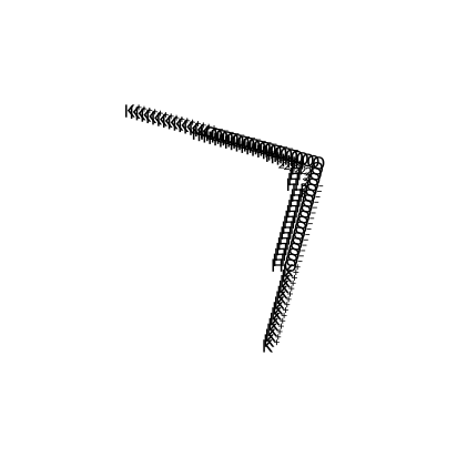 O.O.O.O.O.O.O.O.O.O.[K+].[K+].[K+].[K+].[K+].[K+].[K+].[K+].[K+].[K+].[K+].[K+].[K+].[K+].[K+].[K+].[K+].[K+].[K+].[K+].[K+].[K+].[K+].[K+].[K+].[K+].[K+].[K+].[K+].[K+].[OH-].[OH-].[OH-].[OH-].[OH-].[OH-].[OH-].[OH-].[OH-].[OH-].[OH-].[OH-].[OH-].[OH-].[OH-].[OH-].[OH-].[OH-].[OH-].[OH-].[OH-].[OH-].[OH-].[OH-].[OH-].[OH-].[OH-].[OH-].[OH-].[OH-]